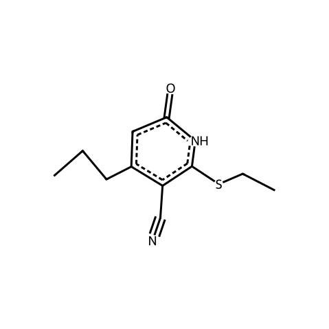 CCCc1cc(=O)[nH]c(SCC)c1C#N